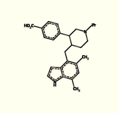 Cc1cc(C)c2[nH]ccc2c1CC1CCN(C(C)C)CC1c1ccc(C(=O)O)cc1